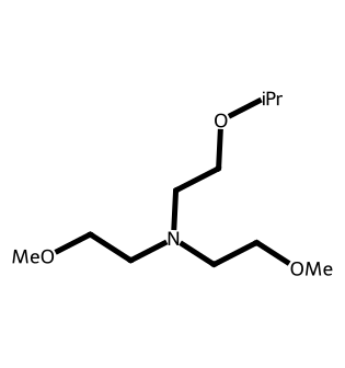 COCCN(CCOC)CCOC(C)C